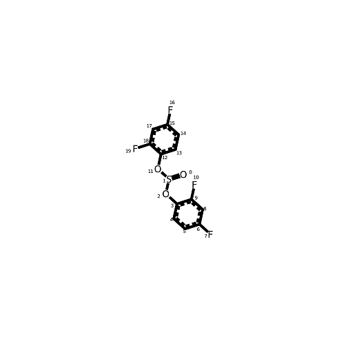 O=S(Oc1ccc(F)cc1F)Oc1ccc(F)cc1F